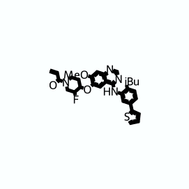 C=CC(=O)N1CCC(Oc2cc3c(Nc4cc(-c5cccs5)ccc4C(C)CC)ncnc3cc2OC)C(F)C1